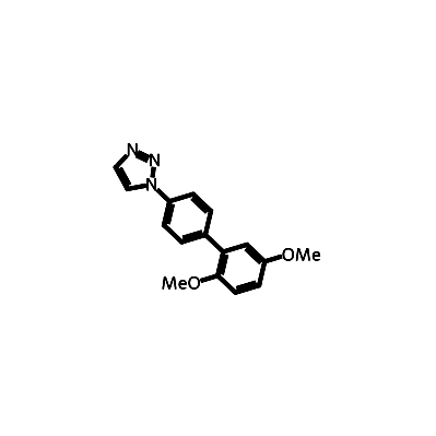 COc1ccc(OC)c(-c2ccc(-n3ccnn3)cc2)c1